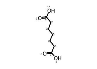 O=C(O)CC[CH]CCC(=O)O